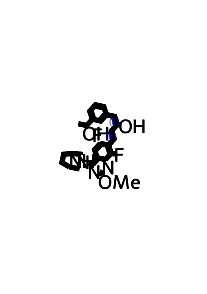 COc1nc(N2CC3CCC(C2)N3)c2cc(F)c(/C=C/C(O)=C\c3cccc(C(C)O)c3)c(F)c2n1